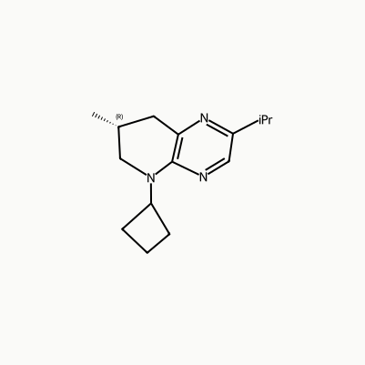 CC(C)c1cnc2c(n1)C[C@@H](C)CN2C1CCC1